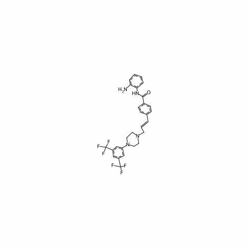 Nc1ccccc1NC(=O)c1ccc(C=CCN2CCN(c3cc(C(F)(F)F)cc(C(F)(F)F)c3)CC2)cc1